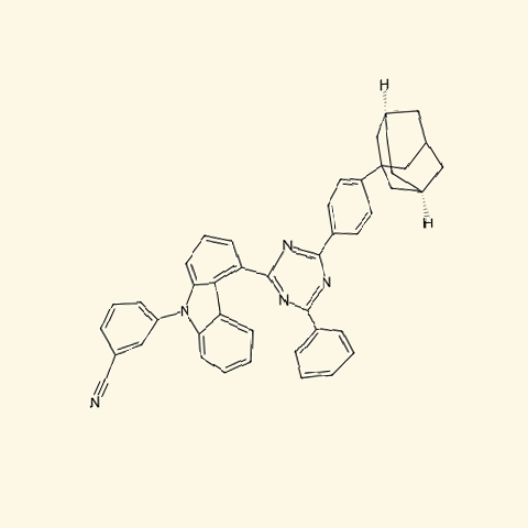 N#Cc1cccc(-n2c3ccccc3c3c(-c4nc(-c5ccccc5)nc(-c5ccc(C67CC8C[C@H](C6)C[C@@H](C8)C7)cc5)n4)cccc32)c1